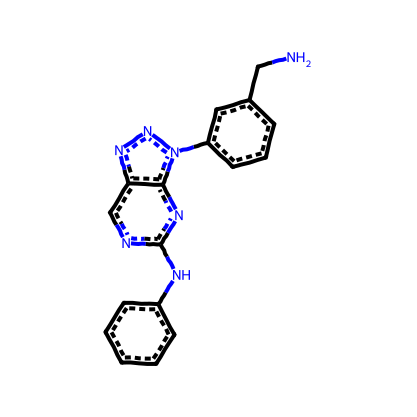 NCc1cccc(-n2nnc3cnc(Nc4ccccc4)nc32)c1